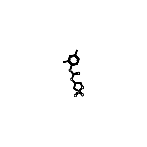 Cc1ccc(OC(=O)OC2COS(=O)(=O)C2)c(C)c1